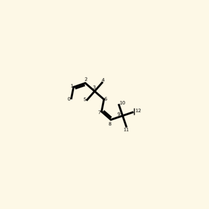 C/C=C\C(C)(C)C/C=C\C(C)(C)I